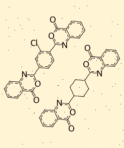 O=c1oc(-c2ccc(-c3nc4ccccc4c(=O)o3)c(Cl)c2)nc2ccccc12.O=c1oc(C2CCC(c3nc4ccccc4c(=O)o3)CC2)nc2ccccc12